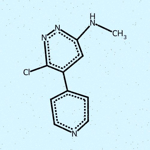 CNc1cc(-c2ccncc2)c(Cl)nn1